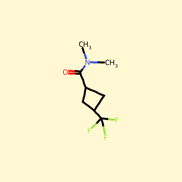 CN(C)C(=O)C1CC(C(F)(F)F)C1